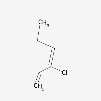 C=C/C(Cl)=C\CC